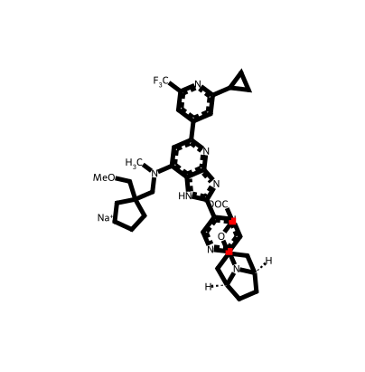 COCC1(CN(C)c2cc(-c3cc(C4CC4)nc(C(F)(F)F)c3)nc3nc(-c4cnc(N5[C@@H]6CC[C@H]5CC(OCC(=O)[O-])C6)cn4)[nH]c23)CCCC1.[Na+]